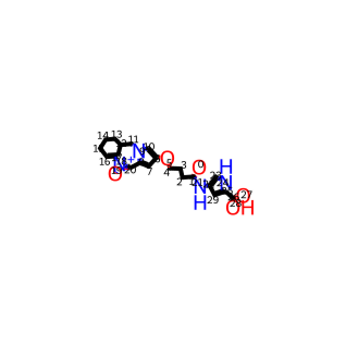 O=C(CCCOc1cc2n(c1)CC1CCCC=C1[N+]([O-])=C2)Nc1c[nH]c(C(=O)O)c1